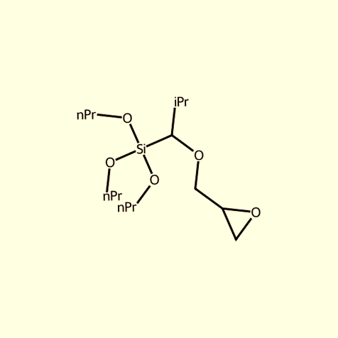 CCCO[Si](OCCC)(OCCC)C(OCC1CO1)C(C)C